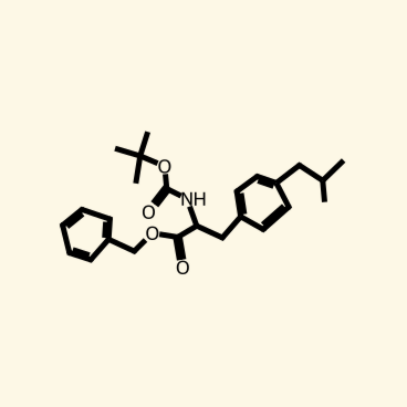 CC(C)Cc1ccc(CC(NC(=O)OC(C)(C)C)C(=O)OCc2ccccc2)cc1